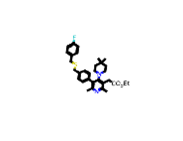 CCOC(=O)Cc1c(C)nc(C)c(-c2ccc(CSCc3ccc(F)cc3)cc2)c1N1CCC(C)(C)CC1